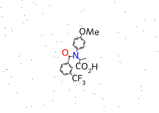 COc1ccc(N(C(=O)c2cccc(C(F)(F)F)c2)C(C)C(=O)O)cc1